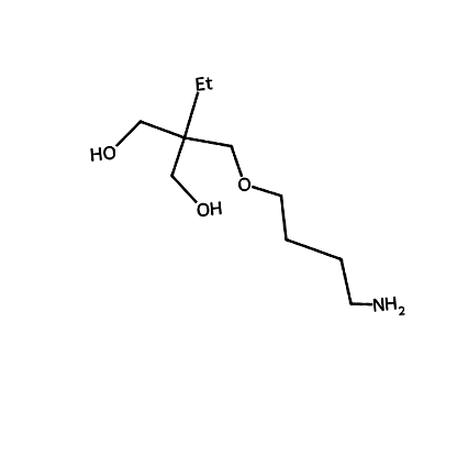 CCC(CO)(CO)COCCCCN